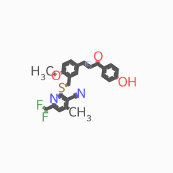 COc1ccc(/C=C/C(=O)c2ccc(O)cc2)cc1CSc1nc(C(F)F)cc(C)c1C#N